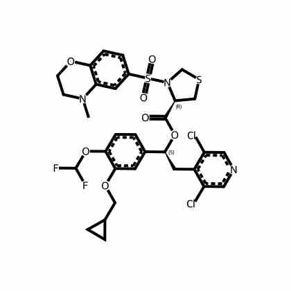 CN1CCOc2ccc(S(=O)(=O)N3CSC[C@H]3C(=O)O[C@@H](Cc3c(Cl)cncc3Cl)c3ccc(OC(F)F)c(OCC4CC4)c3)cc21